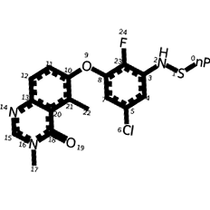 CCCSNc1cc(Cl)cc(Oc2ccc3ncn(C)c(=O)c3c2C)c1F